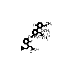 COc1ccc(F)c(-c2ccc(COc3cccc(C(CC(=O)O)CC4CC4)c3F)cc2[C@@H](OC)C(C)(C)C)c1